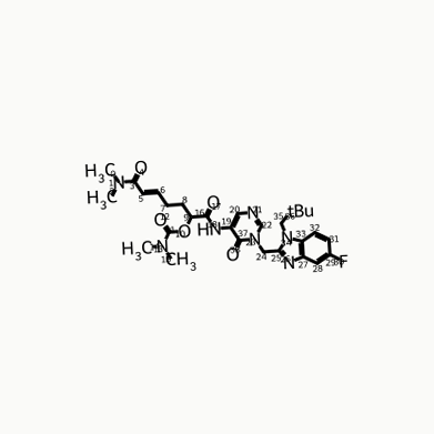 CN(C)C(=O)C=CCCC(OC(=O)N(C)C)C(=O)Nc1cncn(Cc2nc3cc(F)ccc3n2CC(C)(C)C)c1=O